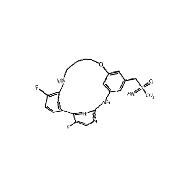 CS(=N)(=O)Cc1cc2cc(c1)OCCCNc1cc(ccc1F)-c1nc(ncc1F)N2